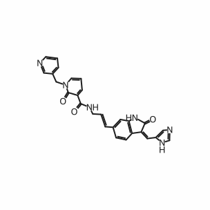 O=C1Nc2cc(C=CCNC(=O)c3cccn(Cc4cccnc4)c3=O)ccc2C1=Cc1cnc[nH]1